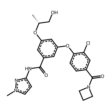 C[C@H](CO)Oc1cc(Oc2ccc(C(=O)N3CCC3)cc2Cl)cc(C(=O)Nc2ccn(C)n2)c1